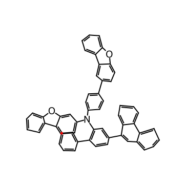 c1ccc(-c2ccc(-c3cc4ccccc4c4ccccc34)cc2N(c2ccc(-c3ccc4oc5ccccc5c4c3)cc2)c2ccc3c(c2)oc2ccccc23)cc1